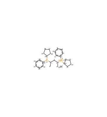 CC(CC(C)[PH]1(c2ccccc2)C2CCC[C@H]21)P(c1ccccc1)C1CCCC1